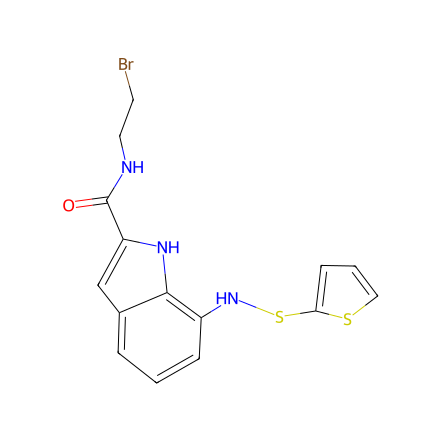 O=C(NCCBr)c1cc2cccc(NSc3cccs3)c2[nH]1